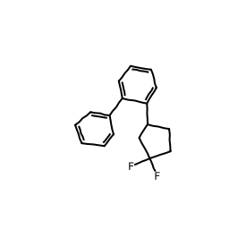 FC1(F)CCC(c2ccccc2-c2ccccc2)C1